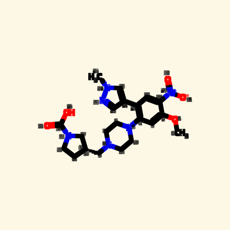 COc1cc(N2CCN(C[C@@H]3CCN(C(=O)O)C3)CC2)c(-c2cnn(C)c2)cc1[N+](=O)[O-]